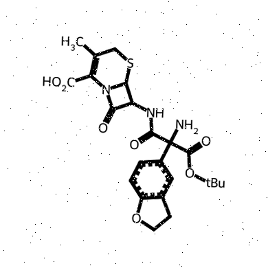 CC1=C(C(=O)O)N2C(=O)C(NC(=O)C(N)(C(=O)OC(C)(C)C)c3ccc4c(c3)CCO4)C2SC1